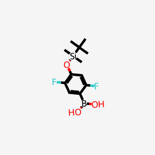 CC(C)(C)[Si](C)(C)Oc1cc(F)c(B(O)O)cc1F